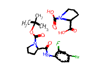 CC(C)(C)OC(=O)N1CCCC1C(=O)Nc1ccc(Br)cc1F.O=C(O)C1CCCN1C(=O)O